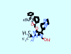 CC(Nc1nc(OCCO[Si](c2ccccc2)(c2ccccc2)C(C)(C)C)c2c(-c3ccc4nccn4c3)cn(CO)c2n1)C(F)(F)F